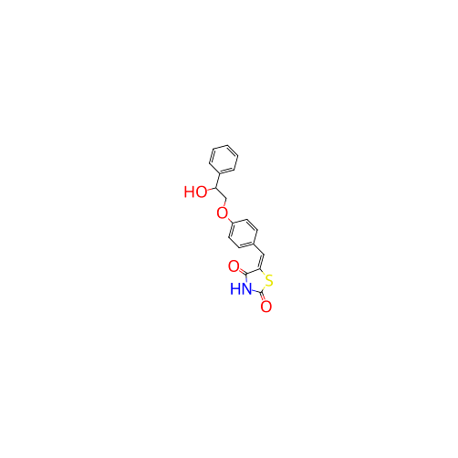 O=C1NC(=O)/C(=C\c2ccc(OCC(O)c3ccccc3)cc2)S1